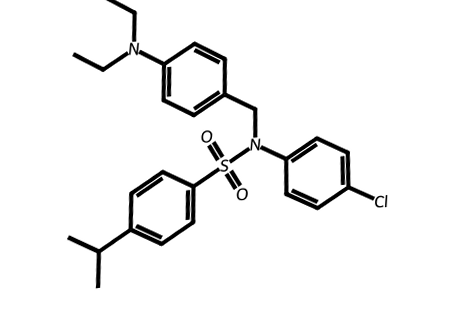 CCN(CC)c1ccc(CN(c2ccc(Cl)cc2)S(=O)(=O)c2ccc(C(C)C)cc2)cc1